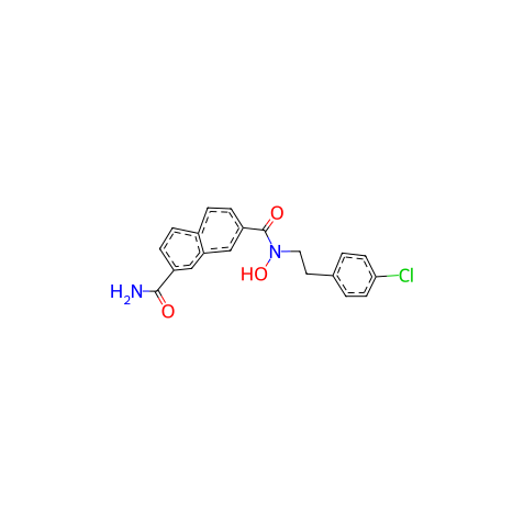 NC(=O)c1ccc2ccc(C(=O)N(O)CCc3ccc(Cl)cc3)cc2c1